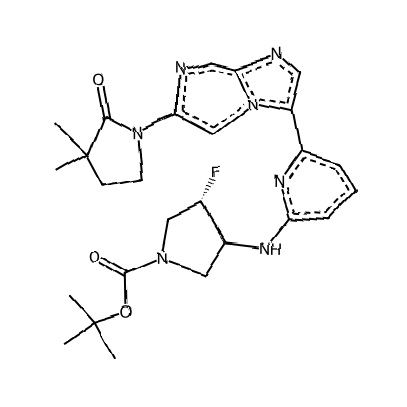 CC(C)(C)OC(=O)N1CC(Nc2cccc(-c3cnc4cnc(N5CCC(C)(C)C5=O)cn34)n2)[C@@H](F)C1